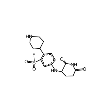 O=C1CCC(Nc2ccc(C3CCNCC3)c(S(=O)(=O)F)c2)C(=O)N1